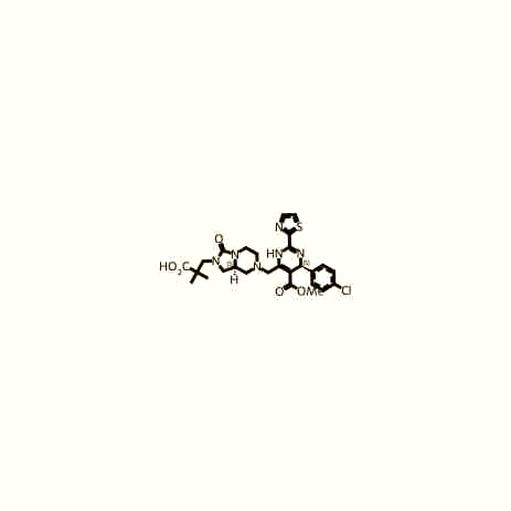 COC(=O)C1=C(CN2CCN3C(=O)N(CC(C)(C)C(=O)O)C[C@@H]3C2)NC(c2nccs2)=N[C@H]1c1ccc(Cl)cc1